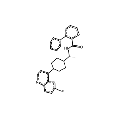 C[C@@H](NC(=O)c1ccccc1-c1ccccc1)C1CCC(c2ccnc3ccc(F)cc23)CC1